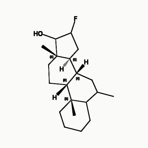 CC1C[C@@H]2[C@@H](CC[C@]3(C)C(O)C(F)C[C@@H]23)[C@@]2(C)CCCCC12